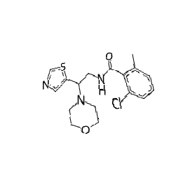 Cc1cccc(Cl)c1C(=O)NCC(c1cncs1)N1CCOCC1